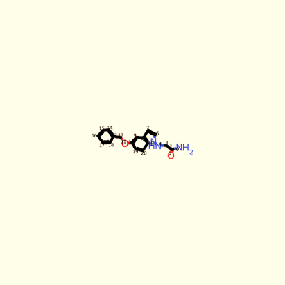 NC(=O)CNn1ccc2cc(OCc3ccccc3)ccc21